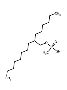 CCCCCCCCC(CCCCCC)COP(C)(=O)S